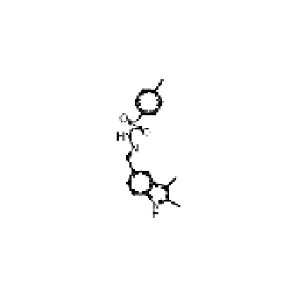 Cc1ccc(S(=O)(=O)NN=Cc2ccc3[nH]c(C)c(C)c3c2)cc1